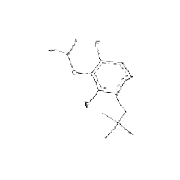 CC(C)Oc1c(F)ccc(CC(C)(C)C)c1F